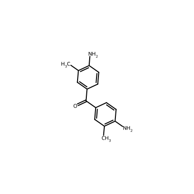 Cc1cc(C(=O)c2ccc(N)c(C)c2)ccc1N